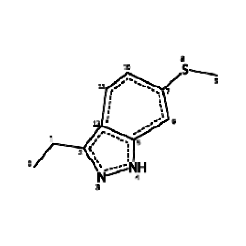 CCc1n[nH]c2cc(SC)ccc12